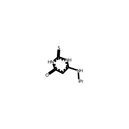 CC(C)Nc1cc(=O)[nH]c(=S)[nH]1